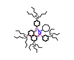 CCCC[Si](CCCC)(CCCC)c1ccc(P(c2ccc([Si](CCCC)(CCCC)CCCC)cc2)N(C2CCCCCC2)P(c2cccc([Si](CCC)(CCC)CCC)c2)c2cccc([Si](CCC)(CCC)CCC)c2)cc1